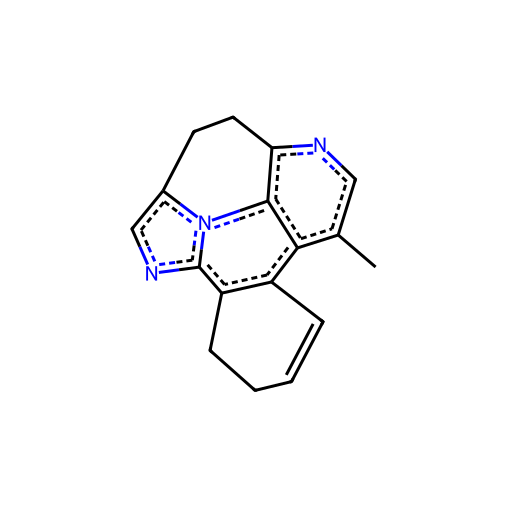 Cc1cnc2c3c1c1c(c4ncc(n43)CC2)CCC=C1